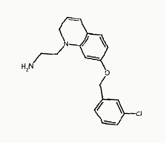 NCCN1CC=Cc2ccc(OCc3cccc(Cl)c3)cc21